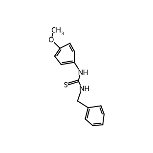 COc1ccc(NC(=S)NCc2ccccc2)cc1